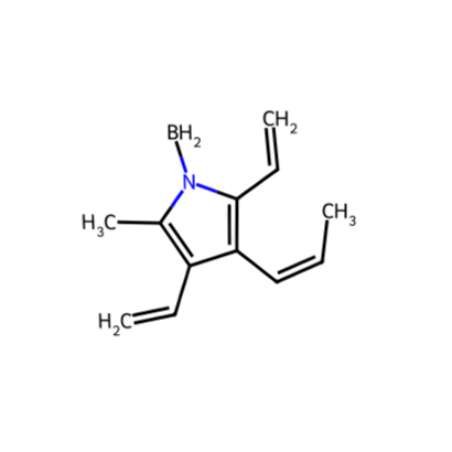 Bn1c(C)c(C=C)c(/C=C\C)c1C=C